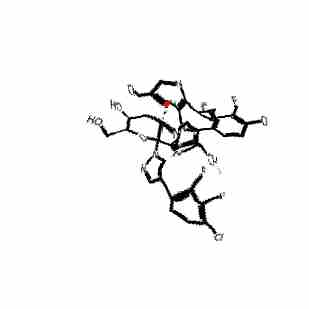 Cc1nc(C2(n3cc(-c4ccc(Cl)c(F)c4F)cn3)O[C@@H](CO)[C@@H](O)C[C@@]2(O)n2cc(-c3ccc(Cl)c(F)c3F)cn2)n(-c2cc(Cl)cnc2C2CC2)n1